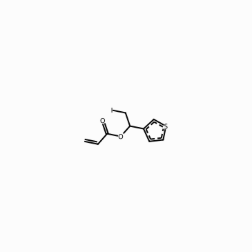 C=CC(=O)OC(CI)c1ccsc1